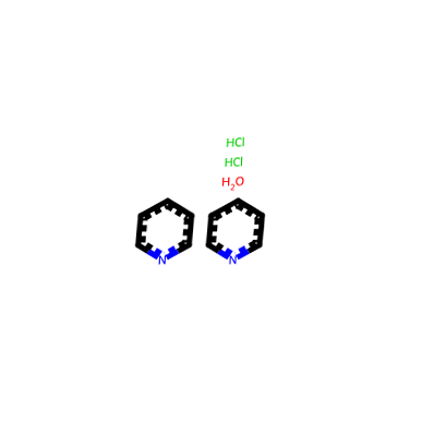 Cl.Cl.O.c1ccncc1.c1ccncc1